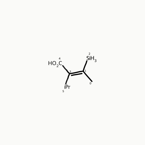 CC([SiH3])=C(C(=O)O)C(C)C